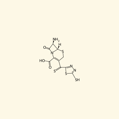 N[C@@H]1C(=O)N2C(C(=O)O)=C(C(=S)c3nnc(S)s3)CS[C@@H]12